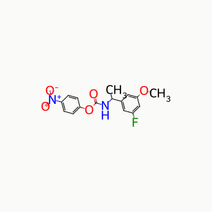 COc1cc(F)cc(C(C)NC(=O)Oc2ccc([N+](=O)[O-])cc2)c1